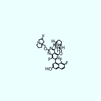 Oc1cc(-c2nc3c4c(nc(OC[C@@]56CCCN5C[C@H](F)C6)nc4c2F)N2C[C@H]4CC[C@H](N4)[C@@H]2CO3)c2c(F)c(F)ccc2c1